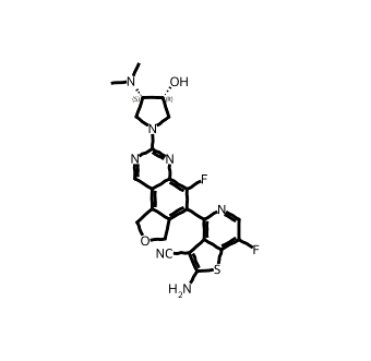 CN(C)[C@H]1CN(c2ncc3c4c(c(-c5ncc(F)c6sc(N)c(C#N)c56)c(F)c3n2)COC4)C[C@H]1O